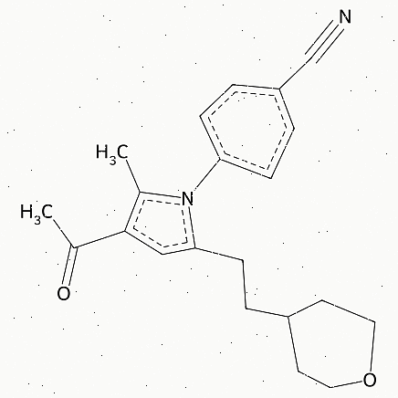 CC(=O)c1cc(CCC2CCOCC2)n(-c2ccc(C#N)cc2)c1C